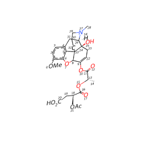 COc1ccc2c3c1OC1C(OC(=O)[C@H](C)OC(=O)[C@H](CC(=O)O)OC(C)=O)=CC[C@@]4(O)[C@@H]5N(C)CC5(C2)CC314